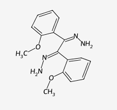 COc1ccccc1C(=NN)C(=NN)c1ccccc1OC